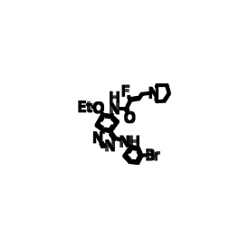 CCOc1cc2ncnc(Nc3cccc(Br)c3)c2cc1NC(=O)/C(F)=C/CN1CCCCC1